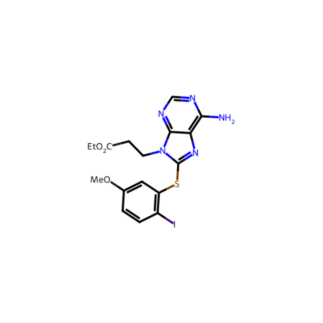 CCOC(=O)CCn1c(Sc2cc(OC)ccc2I)nc2c(N)ncnc21